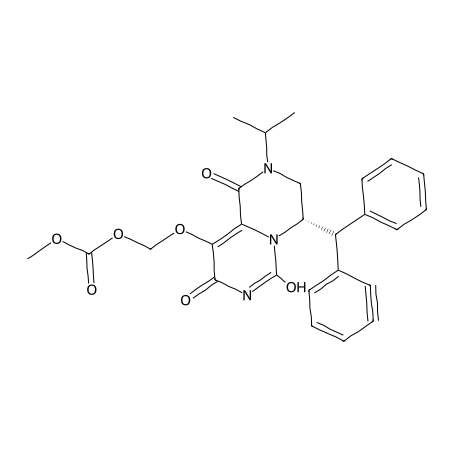 COC(=O)OCOc1c2n(c(O)nc1=O)[C@@H](C(c1c#cccc1)c1ccccc1)CN(C(C)C)C2=O